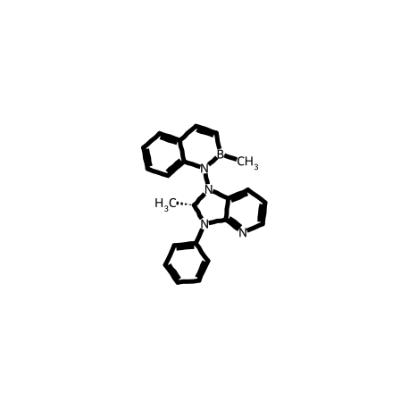 CB1C=Cc2ccccc2N1N1c2cccnc2N(c2ccccc2)[C@@H]1C